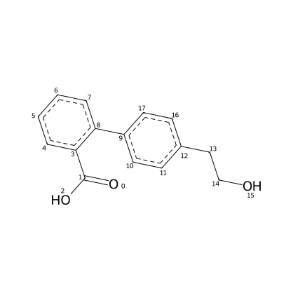 O=C(O)c1ccccc1-c1ccc(CCO)cc1